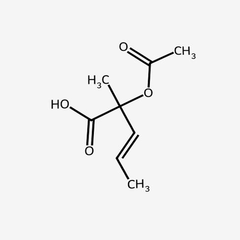 CC=CC(C)(OC(C)=O)C(=O)O